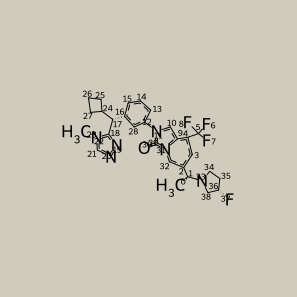 C[C@@H](c1cc(C(F)(F)F)c2cn(-c3cccc([C@H](c4nncn4C)C4CCC4)c3)c(=O)n2c1)N1CC[C@H](F)C1